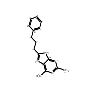 Nc1nc(N)c2nc(CCCc3ccccc3)[nH]c2n1